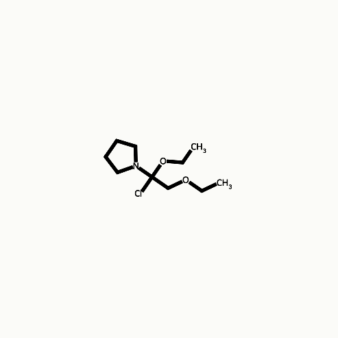 CCOCC(Cl)(OCC)N1CCCC1